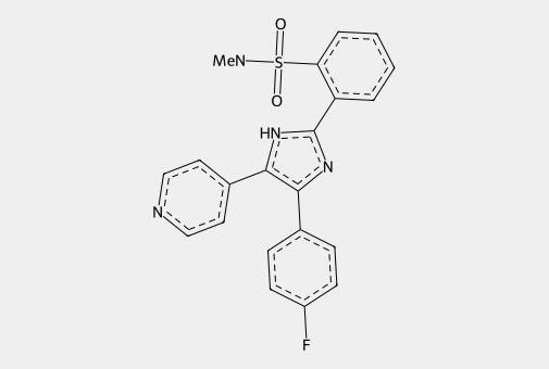 CNS(=O)(=O)c1ccccc1-c1nc(-c2ccc(F)cc2)c(-c2ccncc2)[nH]1